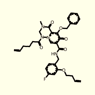 C=CCCCC(=O)N1CN(C)C(=O)c2c(OCc3ccccc3)c(=O)c(C(=O)NCc3ccc(F)cc3OCCC=C)cn21